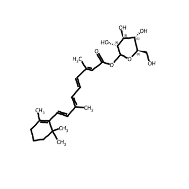 CC(C=CC1=C(C)CCCC1(C)C)=CC=CC(C)=CC(=O)OC1O[C@H](CO)[C@@H](O)[C@H](O)[C@H]1O